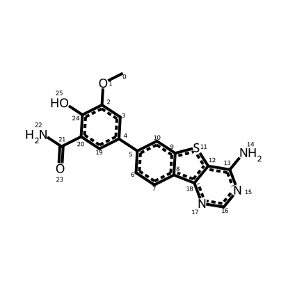 COc1cc(-c2ccc3c(c2)sc2c(N)ncnc23)cc(C(N)=O)c1O